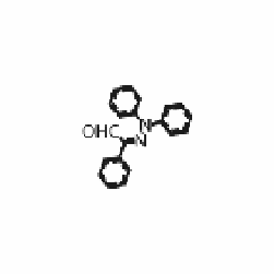 O=CC(=NN(c1ccccc1)c1ccccc1)c1ccccc1